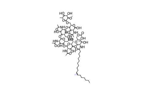 CCCCCC/C=C\CCCCCCCCCC(=O)NC1[C@H](O[C@@H]2C(CO)O[C@@H](O[C@@H]3C(CO)O[C@@H](O[C@@H]4C(CO)O[C@@H](O[C@@H]5C(CO[C@@H]6OC(C)[C@@H](O)C(O)[C@H]6OC)O[C@@H](O)C(NC(C)=O)[C@H]5O)C(NC(C)=O)[C@H]4O)C(NC(C)=O)[C@H]3O)C(NC(C)=O)[C@H]2O)OC(COC(C)=O)[C@@H](O)[C@@H]1O